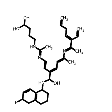 C=CCC=C(C=C)/C(C)=N/C(C)=C/C=C(\C=C\N=C(/C)NCCCC(O)O)C(O)NC1CCCC2=C1C=CC(F)C2